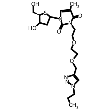 CCCn1cc(COCCOCCn2c(=O)c(C)cn(C3CC(O)[C@@H](CO)S3)c2=O)nn1